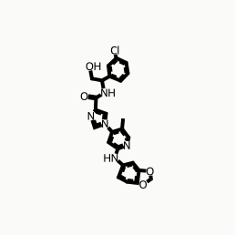 Cc1cnc(Nc2ccc3c(c2)OCO3)cc1-n1cnc(C(=O)NC(CO)c2cccc(Cl)c2)c1